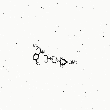 CC/C(C)=C/C(=NCCC(=O)N1CCN(c2ncc(OC)cn2)CC1)c1cccc(Cl)c1